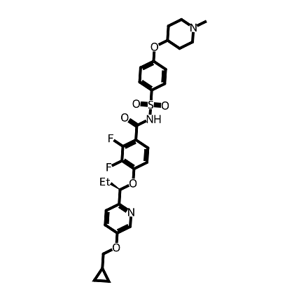 CC[C@@H](Oc1ccc(C(=O)NS(=O)(=O)c2ccc(OC3CCN(C)CC3)cc2)c(F)c1F)c1ccc(OCC2CC2)cn1